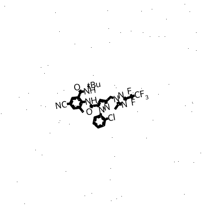 Cc1cc(C#N)cc(C(=O)NC(C)(C)C)c1NC(=O)c1cc(Cn2nc(C(F)(F)C(F)(F)F)nc2C)nn1-c1ccccc1Cl